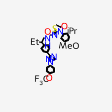 CCC(CNC(=O)N=C1SCC(=O)N1c1cc(OC)ccc1C(C)C)c1ccc(-c2ncn(-c3ccc(OC(F)(F)F)cc3)n2)cc1